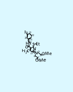 CCSc1nc(N(CCOC)CCOC)cc(C)c1C(=O)NCc1cccc(F)c1